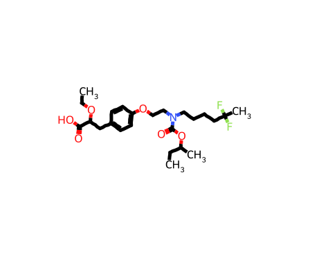 CCOC(Cc1ccc(OCCN(CCCCC(C)(F)F)C(=O)OC(C)CC)cc1)C(=O)O